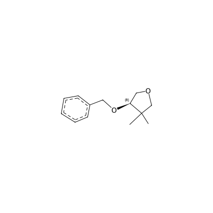 CC1(C)COC[C@@H]1OCc1ccccc1